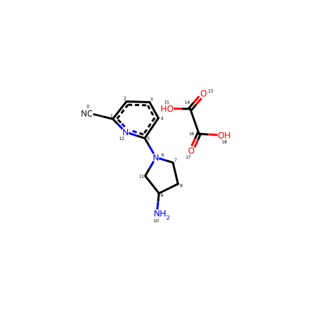 N#Cc1cccc(N2CCC(N)C2)n1.O=C(O)C(=O)O